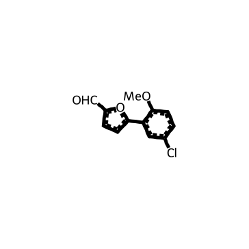 COc1ccc(Cl)cc1-c1ccc(C=O)o1